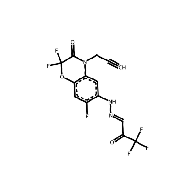 C#CCN1C(=O)C(F)(F)Oc2cc(F)c(NN=CC(=O)C(F)(F)F)cc21